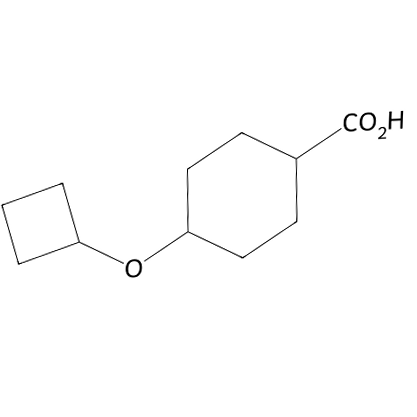 O=C(O)C1CCC(OC2CCC2)CC1